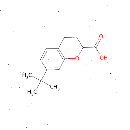 CC(C)(C)c1ccc2c(c1)OC(C(=O)O)CC2